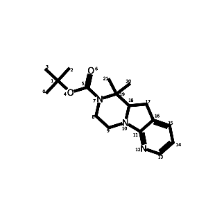 CC(C)(C)OC(=O)N1CCN2c3ncccc3CC2C1(C)C